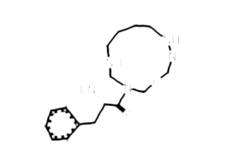 N[C@@H](Cc1ccccc1)C(=O)N1CCCNNCCCCNC1